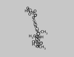 CCc1cc(Nc2ncc(Cl)c(Nc3ccccc3P(C)(C)=O)n2)c(OC)cc1N1CCC(N2CCN([C@H]3C[C@H](Oc4cccc5c4CN(C4CCC(=O)NC4=O)C5=O)C3)CC2)CC1